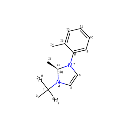 [2H]C([2H])(C)N1C=CN(c2ccccc2C)[C@@H]1C